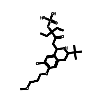 CCC(CC)(OP(=O)(O)O)C(=O)CC1NC(C(C)(C)C)Cc2cc(OCCCOC)c(Cl)cc21